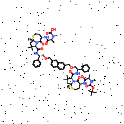 CC(C(=O)N[C@H]1CCS[C@H]2CC(C)(C)[C@H](C(=O)N[C@H](COCc3ccc4ccc(COCC(NC(=O)[C@H]5N6C(=O)[C@@H](NC(=O)C(C)N(C)C(=O)OC(C)(C)C)CCS[C@H]6CC5(C)C)c5ccccc5)cc4c3)c3ccccc3)N2C1=O)N(C)C(=O)O